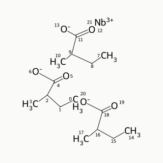 CCC(C)C(=O)[O-].CCC(C)C(=O)[O-].CCC(C)C(=O)[O-].[Nb+3]